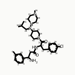 Cc1cccc(C(N)CC(=O)NC(Cc2ccc(Cl)cc2)C(=O)N2CCC(N(CC(C)C)N3CCN(C)CC3)CC2)c1